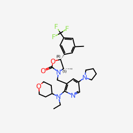 CCN(c1ncc(N2CCCC2)cc1CN1C(=O)O[C@H](c2cc(C)cc(C(F)(F)F)c2)[C@@H]1C)C1CCOCC1